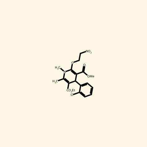 CCOC(=O)C1=C(C)N(C)C(OCC[N+](=O)[O-])=C(C(=O)OC)C1c1ccccc1Cl